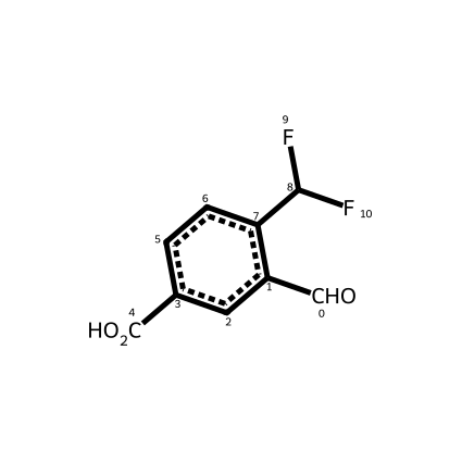 O=Cc1cc(C(=O)O)ccc1C(F)F